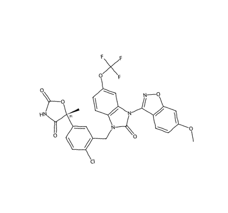 COc1ccc2c(-n3c(=O)n(Cc4cc([C@@]5(C)OC(=O)NC5=O)ccc4Cl)c4ccc(OC(F)(F)F)cc43)noc2c1